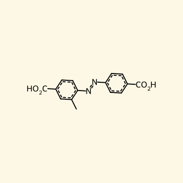 Cc1cc(C(=O)O)ccc1N=Nc1ccc(C(=O)O)cc1